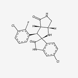 O=C1NC[C@@H]2N[C@@]3(C(=O)Nc4cc(Cl)ccc43)[C@@H](c3cccc(Cl)c3F)[C@H]12